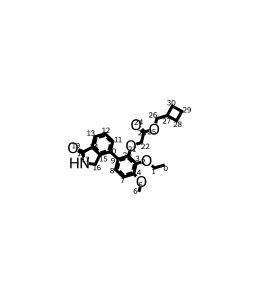 CCOc1c(OC)ccc(-c2cccc3c2CNC3=O)c1OCC(=O)OCC1CCC1